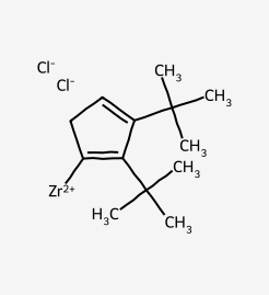 CC(C)(C)C1=CC[C]([Zr+2])=C1C(C)(C)C.[Cl-].[Cl-]